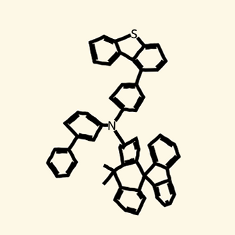 CC1(C)c2ccccc2C2(c3ccccc3-c3ccccc32)c2ccc(N(c3ccc(-c4cccc5sc6ccccc6c45)cc3)c3cccc(-c4ccccc4)c3)cc21